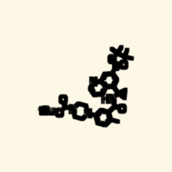 Cc1ccc(N2CCN(C(=O)OC(C)(C)C)CC2)cc1C(=O)NC1(c2cc(B3OC(C)(C)C(C)(C)O3)cc3ncccc23)CC1